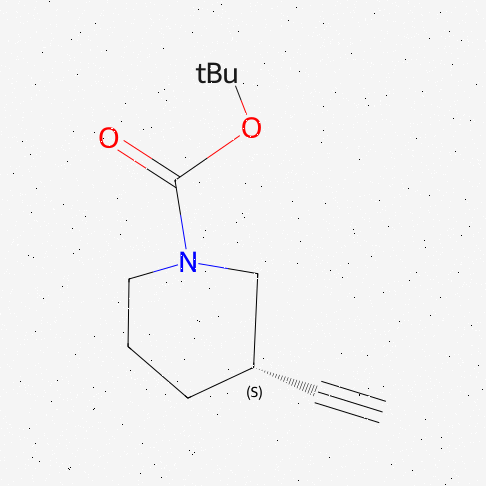 C#C[C@@H]1CCCN(C(=O)OC(C)(C)C)C1